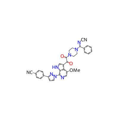 COc1cnc(-n2ccc(-c3ccc(C#N)cc3)n2)c2[nH]cc(C(=O)C(=O)N3CCN(/C(=N/C#N)c4ccccc4)CC3)c12